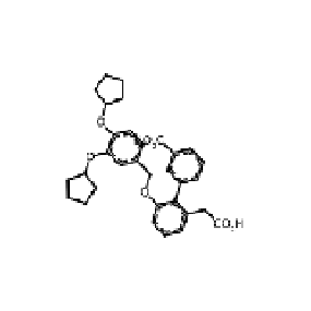 O=C(O)Cc1cccc(OCc2ccc(OC3CCCC3)c(OC3CCCC3)c2)c1-c1cccc(C(=O)O)c1